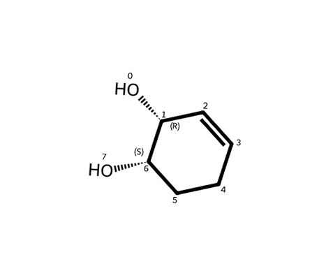 O[C@@H]1C=CCC[C@@H]1O